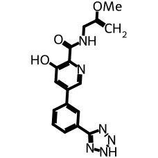 C=C(CNC(=O)c1ncc(-c2cccc(-c3nn[nH]n3)c2)cc1O)OC